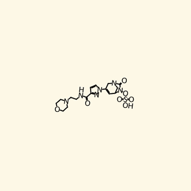 O=C(NCCN1CCOCC1)c1ccn(C2=CC3CN(C2)C(=O)N3OS(=O)(=O)O)n1